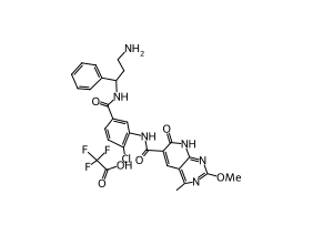 COc1nc(C)c2cc(C(=O)Nc3cc(C(=O)NC(CCN)c4ccccc4)ccc3Cl)c(=O)[nH]c2n1.O=C(O)C(F)(F)F